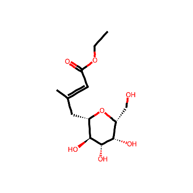 CCOC(=O)C=C(C)C[C@@H]1O[C@H](CO)[C@H](O)[C@H](O)[C@H]1O